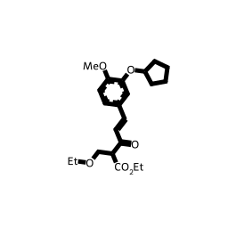 CCOCC(C(=O)C=Cc1ccc(OC)c(OC2CCCC2)c1)C(=O)OCC